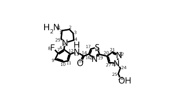 N[C@@H]1CCCN(c2c(F)cccc2NC(=O)c2csc(-c3cnn(CCO)c3)n2)C1